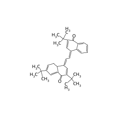 CC(C)(C)C1=CCC2C(=C1)C(=O)C(C(C)(C)C)=C/C2=C\C=C1/C=C(C(C)(C)C)C(=O)c2ccccc21